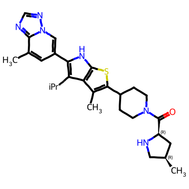 Cc1c(C2CCN(C(=O)[C@H]3C[C@@H](C)CN3)CC2)sc2[nH]c(-c3cc(C)c4ncnn4c3)c(C(C)C)c12